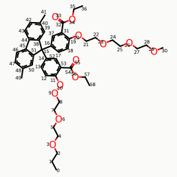 CCCOCCOCCOOc1ccc(C2(c3ccc(OCCOCCOCCOC)c(C(=O)OCC)c3)c3cc(C)ccc3-c3ccc(C)cc32)cc1C(=O)OCC